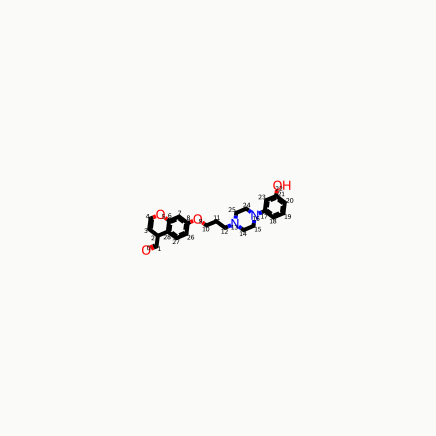 O=CC1C=COc2cc(OCCCN3CCN(c4cccc(O)c4)CC3)ccc21